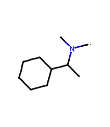 [CH2]N(C)C(C)C1CCCCC1